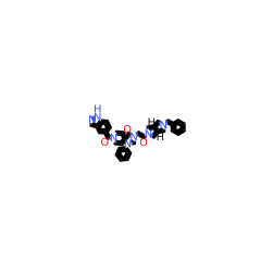 O=C(CN1CN(c2ccccc2)C2(CCN(C(=O)c3ccc4[nH]ncc4c3)CC2)C1=O)N1C[C@H]2CN(Cc3ccccc3)C[C@H]2C1